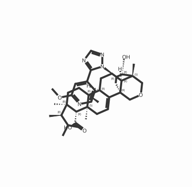 COc1cc(-c2ncnn2[C@@H]2C[C@@]34COC[C@](C)([C@@H]3CC[C@H]3C4=CC[C@@]4(C)[C@H](C(=O)O)[C@@](C)([C@H](C)C(C)C)CC[C@]34C)[C@H]2O)ccn1